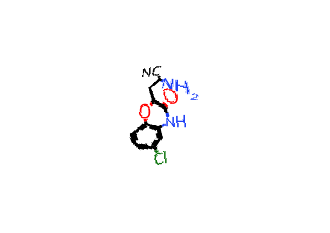 N#CC(N)CC1Oc2ccc(Cl)cc2NC1=O